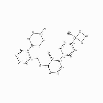 CN1CCN(c2ccccc2CCN2CC=CN(c3ccc(C4(O)CCC4)cc3)C2=O)CC1